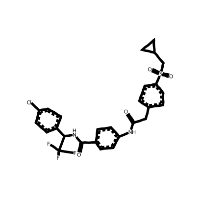 O=C(Cc1ccc(S(=O)(=O)CC2CC2)cc1)Nc1ccc(C(=O)NC(c2ccc(Cl)cc2)C(F)(F)F)cc1